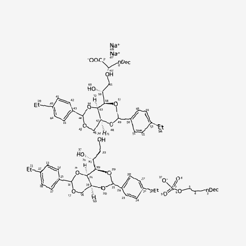 CCCCCCCCCCCC(=O)[O-].CCCCCCCCCCCCOS(=O)(=O)[O-].CCc1ccc(C2OC[C@@H]3OC(c4ccc(CC)cc4)O[C@H]([C@H](O)CO)[C@@H]3O2)cc1.CCc1ccc(C2OC[C@@H]3OC(c4ccc(CC)cc4)O[C@H]([C@H](O)CO)[C@@H]3O2)cc1.[Na+].[Na+]